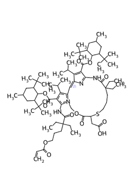 C=CC(=O)OCCCC(CC)(CC)C(=O)Nc1c(C(=O)OC2C(C(C)(C)C)CC(C)CC2C(C)(C)C)c(C(C)C)c2n1COC(=O)C(CC(=O)O)SCCCC(CC)(CC)C(=O)NC1=N/C(=C\2)C(C(C)C)=C1C(=O)OC1C(C(C)(C)C)CC(C)CC1C(C)(C)C